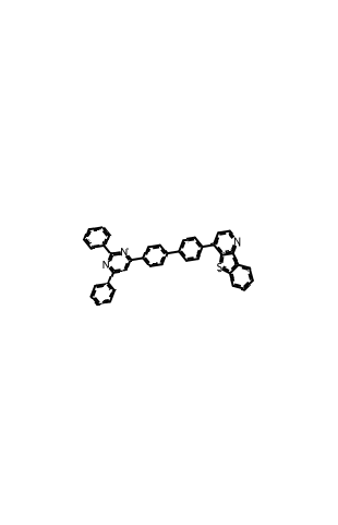 c1ccc(-c2cc(-c3ccc(-c4ccc(-c5ccnc6c5sc5ccccc56)cc4)cc3)nc(-c3ccccc3)n2)cc1